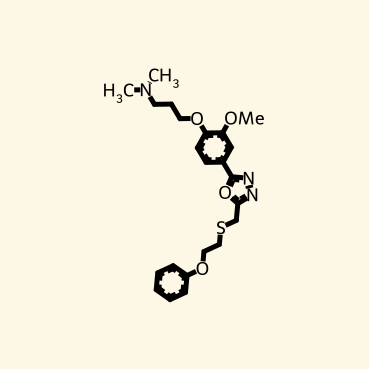 COc1cc(-c2nnc(CSCCOc3ccccc3)o2)ccc1OCCCN(C)C